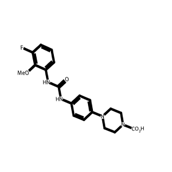 COc1c(F)cccc1NC(=O)Nc1ccc(N2CCN(C(=O)O)CC2)cc1